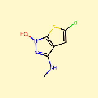 CNc1nn(O)c2sc(Cl)cc12